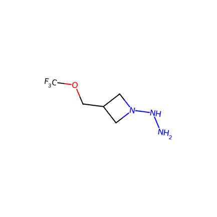 NNN1CC(COC(F)(F)F)C1